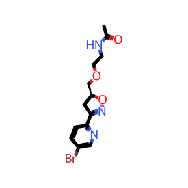 CC(=O)NCCOC[C@@H]1CC(c2ccc(Br)cn2)=NO1